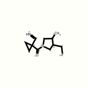 CC1CN(C(=O)C2(C=N)CC2)CC1CF